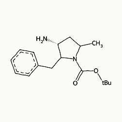 CC1C[C@@H](N)C(Cc2ccccc2)N1C(=O)OC(C)(C)C